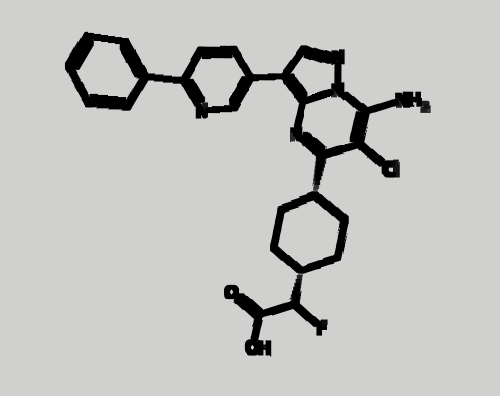 Nc1c(Cl)c([C@H]2CC[C@@H](C(F)C(=O)O)CC2)nc2c(-c3ccc(-c4ccccc4)nc3)cnn12